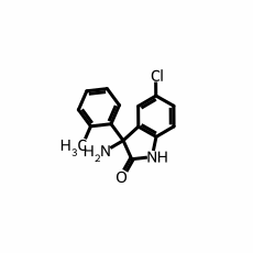 Cc1ccccc1C1(N)C(=O)Nc2ccc(Cl)cc21